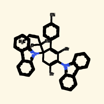 C/C=C\C(C)(C#N)C1(n2c3ccccc3c3ccccc32)CC(C(C)C)=C(n2c3ccccc3c3ccccc32)C(C(C)C)=C1c1ccc(C#N)cc1